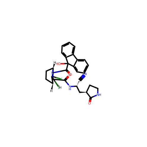 N#C[C@H](C[C@H]1CCNC1=O)NC(=O)[C@H]1[C@@H]2CC[C@@H](CC2(F)F)N1C(=O)C1(O)c2ccccc2-c2ccccc21